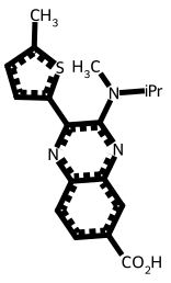 Cc1ccc(-c2nc3ccc(C(=O)O)cc3nc2N(C)C(C)C)s1